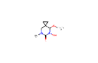 CCOC(=O)OC1N(O)C(=O)N(C)CC12CC2